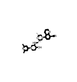 Cc1cc(N2CCC(O)C(NC[C@H]3CN(c4ccc(C#N)c5ncccc45)C[C@@H](C)O3)C2)cc(C)n1